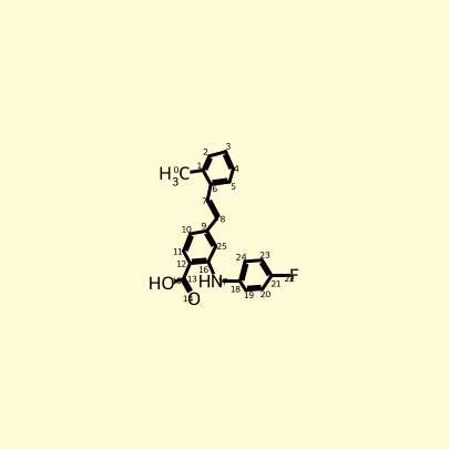 Cc1ccccc1C=Cc1ccc(C(=O)O)c(Nc2ccc(F)cc2)c1